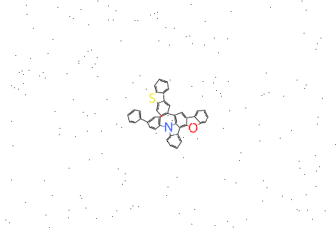 c1ccc(-c2ccc(-n3c4ccccc4c4c5oc6ccccc6c5cc(-c5ccc6sc7ccccc7c6c5)c43)cc2)cc1